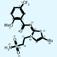 COc1ccc(C(F)(F)F)cc1C(=O)N=c1sc(C(C)(C)C)cn1CCS(N)(=O)=O